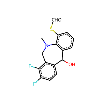 CN1Cc2c(ccc(F)c2F)C(O)c2cccc(SC=O)c21